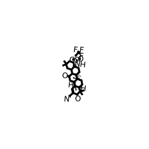 CC1(C)CC[C@]2(NS(=O)(=O)CC(F)(F)F)CC[C@]3(C)C(C(=O)C[C@@H]4[C@@]5(C)C=C(C#N)C(=O)C(C)(C)[C@@H]5CC[C@]43C)C2C1